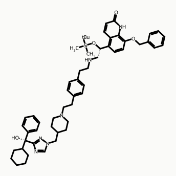 CC(C)(C)[Si](C)(C)O[C@@H](CNCCc1ccc(CCN2CCC(Cn3cnc([C@](O)(c4ccccc4)C4CCCCC4)n3)CC2)cc1)c1ccc(OCc2ccccc2)c2[nH]c(=O)ccc12